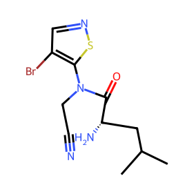 CC(C)C[C@H](N)C(=O)N(CC#N)c1sncc1Br